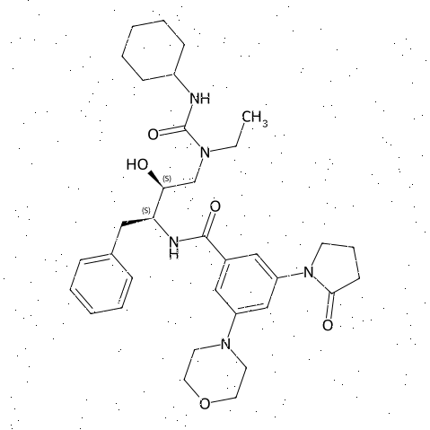 CCN(C[C@H](O)[C@H](Cc1ccccc1)NC(=O)c1cc(N2CCOCC2)cc(N2CCCC2=O)c1)C(=O)NC1CCCCC1